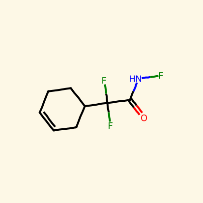 O=C(NF)C(F)(F)C1CC=CCC1